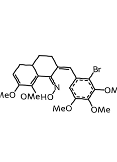 COC1=CCC2CCC(=Cc3cc(OC)c(OC)c(OC)c3Br)C(=NO)C2=C1OC